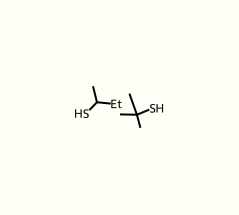 CC(C)(C)S.CCC(C)S